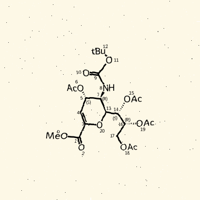 COC(=O)C1=C[C@H](OC(C)=O)[C@@H](NC(=O)OC(C)(C)C)C([C@H](OC(C)=O)[C@@H](COC(C)=O)OC(C)=O)O1